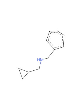 [c]1ccc(CNCC2CC2)cc1